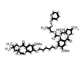 C=C1C[C@H]2[C@H](O)N(C(=O)OCC(C)SSc3ccccn3)c3cc(OCCCCCOc4cc5c(cc4OC)C(=O)N4CC(C)(C)C[C@H]4C=N5)c(OC)cc3C(=O)N2C1